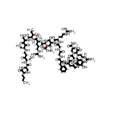 CCCC[C@@H]1NC[C@H](C(=O)N[C@@H](CS)C(=O)CCN[C@@H](CS)C(=O)C(=O)C(CO)NC(=O)[C@@H](NC(=O)C(CCCNC(=N)N)NC(=O)[C@H](CC(=O)O)NC(=O)C(NC(=O)[C@H](CCCNC(=N)N)NC(=O)CNC(=O)CNC(=O)C(Cc2ccccc2)NNC(Cc2cnc[nH]2)C(=O)N[C@@H](Cc2ccc(O)cc2)C(=O)N2C[C@H](C(N)=O)NC(=O)[C@H]2CCCNC(=N)N)C(C)C)[C@@H](C)CC)NC1=O